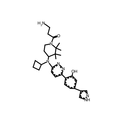 CC1(C)C(N(c2ccc(-c3ccc(-c4cn[nH]c4)cc3O)nn2)C2CCC2)CCN(C(=O)CCN)C1(C)C